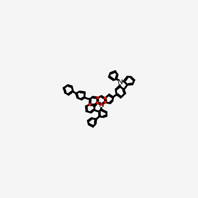 c1ccc(-c2ccc(-c3ccc(N(c4ccc(-c5ccc6c7ccccc7n(-c7ccccc7)c6c5)cc4)c4cccc(-c5ccccc5)c4-c4ccccc4-c4ccccc4)cc3)cc2)cc1